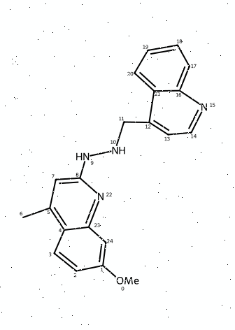 COc1ccc2c(C)cc(NNCc3ccnc4ccccc34)nc2c1